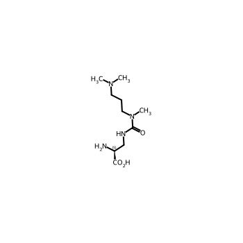 CN(C)CCCN(C)C(=O)NC[C@H](N)C(=O)O